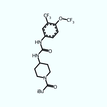 CCC(C)C(=O)N1CCC(NC(=O)Nc2ccc(OC(F)(F)F)c(C(F)(F)F)c2)CC1